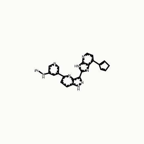 CC(C)Nc1cncc(-c2ccc3[nH]nc(-c4nc5c(C6=CCC=C6)ccnc5[nH]4)c3n2)c1